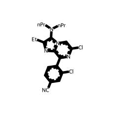 CCCN(CCC)c1c(CC)nc2c(-c3ccc(C#N)cc3Cl)nc(Cl)cn12